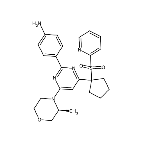 C[C@H]1COCCN1c1cc(C2(S(=O)(=O)c3ccccn3)CCCC2)nc(-c2ccc(N)cc2)n1